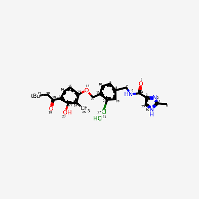 Cc1nc(C(=O)NCc2ccc(COc3ccc(C(=O)CC(C)(C)C)c(O)c3C(F)(F)F)c(Cl)c2)c[nH]1.Cl